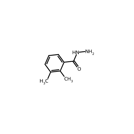 Cc1cccc(C(=O)NN)c1C